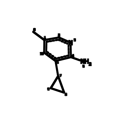 Cc1cnc(N)c(C2CC2)c1